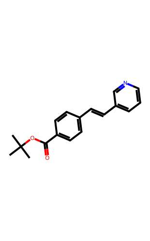 CC(C)(C)OC(=O)c1ccc(C=Cc2cccnc2)cc1